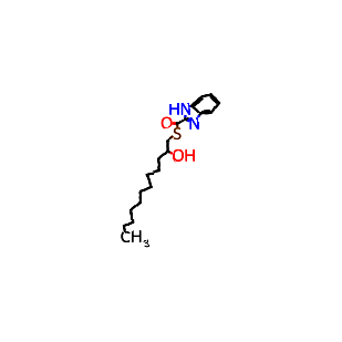 CCCCCCCCCCC(O)CSC(=O)c1nc2ccccc2[nH]1